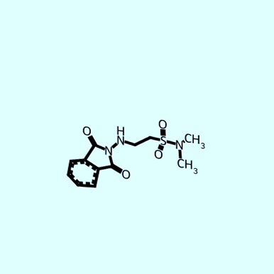 CN(C)S(=O)(=O)CCNN1C(=O)c2ccccc2C1=O